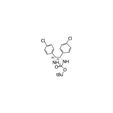 CC(C)(C)OC(=O)N[C@@H](c1ccc(Cl)cc1)[C@H](N)c1ccc(Cl)cc1